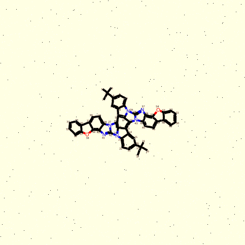 CC(C)(C)c1ccc2c(c1)c1c3c(c4c5cc(C(C)(C)C)ccc5n5c4c1n1c4ccc6c7ccccc7oc6c4nc51)n1c4ccc5c6ccccc6oc5c4nc1n23